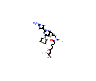 CC(C)=CC(=O)CCCC(=O)N(C)Cc1cc2nc(-c3cnc(N)nc3)nc(N3CCOCC3)c2s1